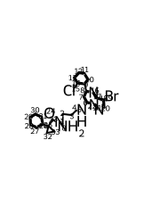 NN(CCCNc1cc(-c2ccccc2Cl)nc2c(Br)cnn12)C(=O)C1(c2ccccc2)CC1